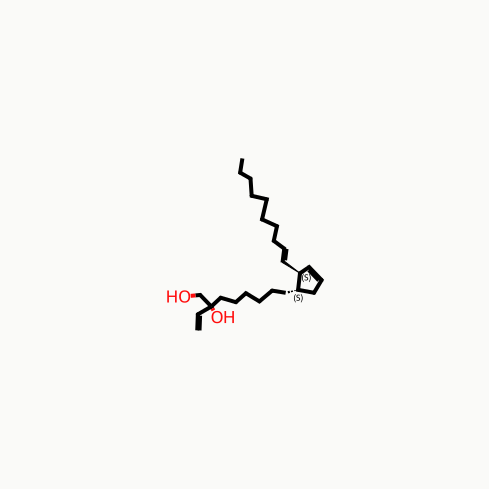 C=CC(O)(CO)CCCCCC[C@H]1CC=C[C@@H]1C=CCCCCCCCC